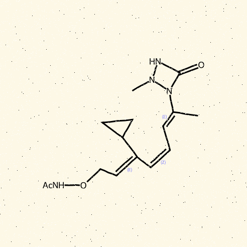 CC(=O)NOC/C=C(/C=C\C=C(/C)n1c(=O)[nH]n1C)C1CC1